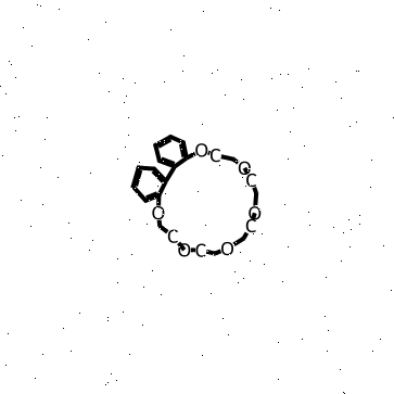 c1ccc2c(c1)OCCOCCOCCOCCOCCOc1ccccc1-2